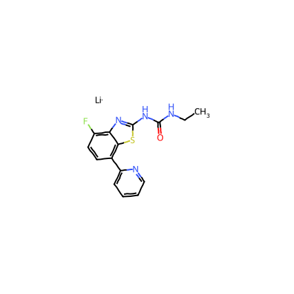 CCNC(=O)Nc1nc2c(F)ccc(-c3ccccn3)c2s1.[Li]